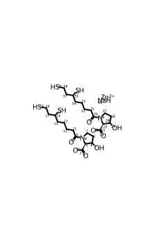 O=C([O-])[C@@H]1C(O)CCN1C(=O)CCCCC(S)CCS.O=C([O-])[C@@H]1C(O)CCN1C(=O)CCCCC(S)CCS.[NaH].[Zn+2]